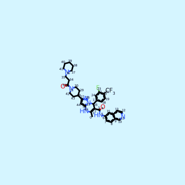 CC1=C(C(=O)Nc2ccc3cnccc3c2)C(c2ccc(C(F)(F)F)c(F)c2)n2nc(C3CCN(C(=O)CCN4CCCCC4)CC3)cc2N1